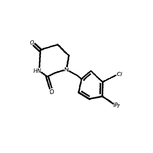 CC(C)c1ccc(N2CCC(=O)NC2=O)cc1Cl